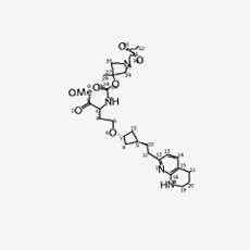 COC(=O)C(CCO[C@H]1C[C@H](CCc2ccc3c(n2)NCCC3)C1)NC(=O)OC1(C)CN(S(C)(=O)=O)C1